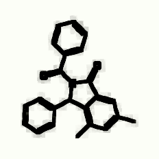 Cc1cc(C)c2c(c1)C(=O)N(C(=O)c1ccccc1)C2c1ccccc1